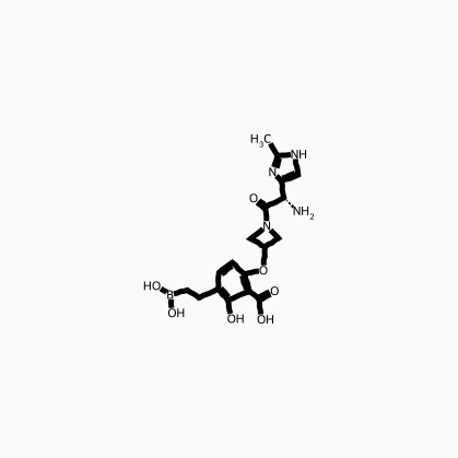 Cc1nc([C@H](N)C(=O)N2CC(Oc3ccc(CCB(O)O)c(O)c3C(=O)O)C2)c[nH]1